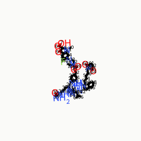 CCn1cc(C(=O)O)c(=O)c2cc(F)c(N3CCN(C(=O)OCc4ccc(NC[C@H](CCCNC(N)=O)n5cc([C@@H](NC[C@@H](Cc6ccccc6)NCCCCCCN6C(=O)CCC6=O)C(C)C)nn5)cc4)CC3)cc21